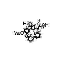 COc1ccc([C@@H]2CN(C(=O)[C@@H](O)CO)C[C@@]2(C)[C@@H](C)O)cc1OC1CCCN(c2ccccn2)C1